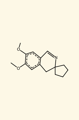 COc1cc2c(cc1OC)CC1(CCCC1)N=C2